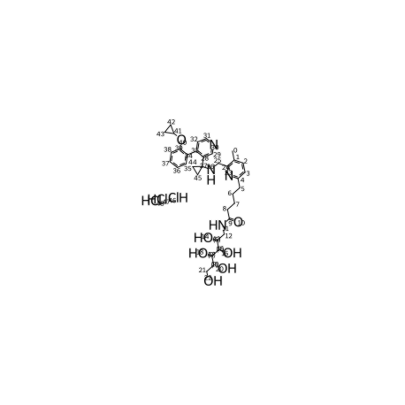 Cc1ccc(CCCCC(=O)NC[C@H](O)[C@@H](O)[C@H](O)[C@H](O)CO)nc1CNC1(c2cnccc2-c2ccccc2OC2CC2)CC1.Cl.Cl.Cl